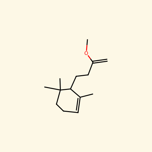 C=C(CCC1C(C)=CCCC1(C)C)OC